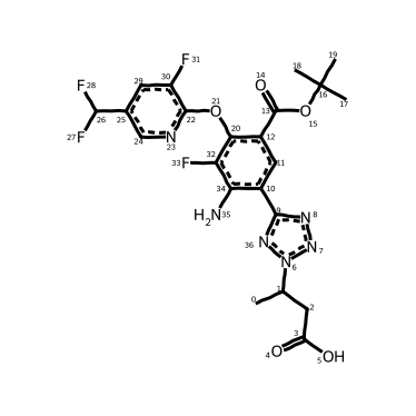 CC(CC(=O)O)n1nnc(-c2cc(C(=O)OC(C)(C)C)c(Oc3ncc(C(F)F)cc3F)c(F)c2N)n1